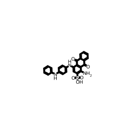 Nc1c(S(=O)(=O)O)cc(Nc2ccc(Nc3ccccc3)cc2)c2c1C(=O)c1ccccc1C2=O